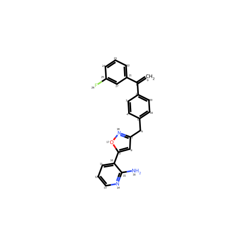 C=C(c1ccc(Cc2cc(-c3cccnc3N)on2)cc1)c1cccc(F)c1